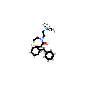 CN(C)CCN1CCSC2(CCCCC2Cc2ccccc2)CC1=O